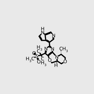 C[C@@H]1COC[C@H]2COc3c(nc(-c4cncc5[nH]ccc45)nc3C(C)(C)S(C)(=O)=O)N21